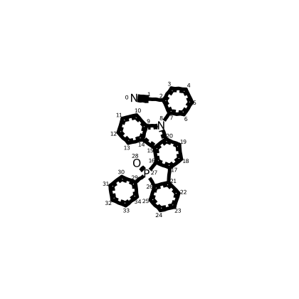 N#Cc1ccccc1-n1c2ccccc2c2c3c(ccc21)-c1ccccc1P3(=O)c1ccccc1